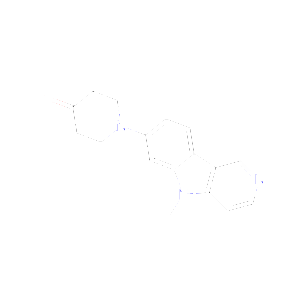 Cn1c2ccncc2c2ccc(N3CCC(=O)CC3)cc21